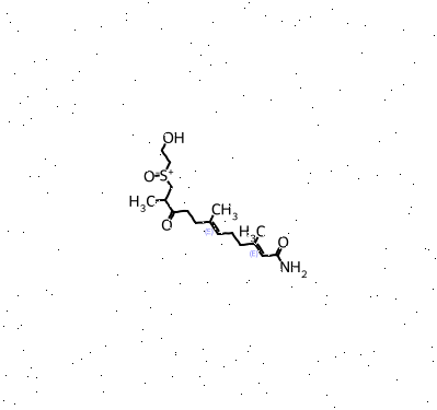 C/C(=C\C(N)=O)CC/C=C(\C)CCC(=O)C(C)C[S+]([O-])CCO